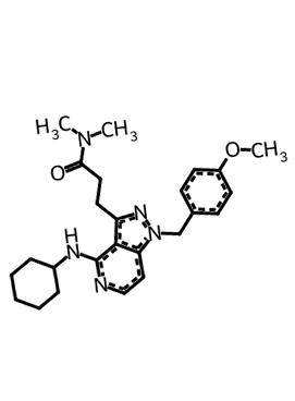 COc1ccc(Cn2nc(CCC(=O)N(C)C)c3c(NC4CCCCC4)nccc32)cc1